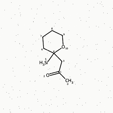 CC(=O)CC1([SiH3])CCCCO1